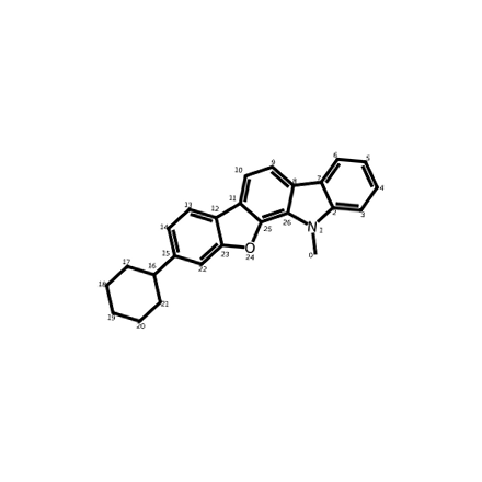 Cn1c2ccccc2c2ccc3c4ccc(C5CCCCC5)cc4oc3c21